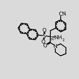 N#Cc1cccc(C[C@](N)(C(=O)N2CCCCC2)S(=O)(=O)c2ccc3ccccc3c2)c1